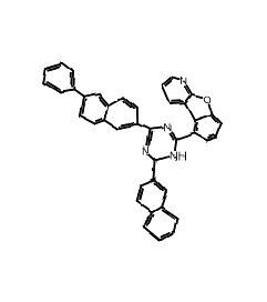 c1ccc(-c2ccc3cc(C4=NC(c5ccc6ccccc6c5)NC(c5cccc6oc7ncccc7c56)=N4)ccc3c2)cc1